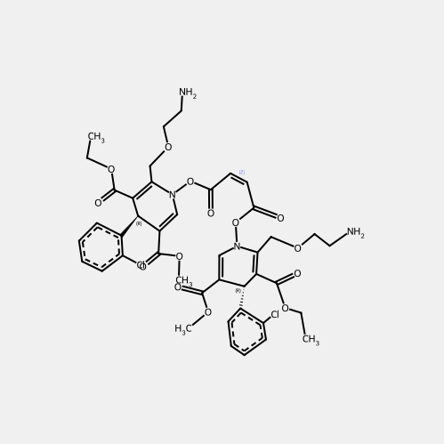 CCOC(=O)C1=C(COCCN)N(OC(=O)/C=C\C(=O)ON2C=C(C(=O)OC)[C@@H](c3ccccc3Cl)C(C(=O)OCC)=C2COCCN)C=C(C(=O)OC)[C@H]1c1ccccc1Cl